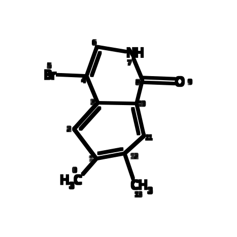 Cc1cc2c(Br)c[nH]c(=O)c2cc1C